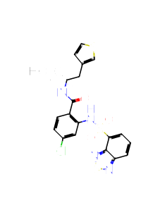 O=C(N[C@@H](Cc1ccsc1)C(=O)O)c1ccc(Cl)cc1NS(=O)(=O)c1cccc2nsnc12